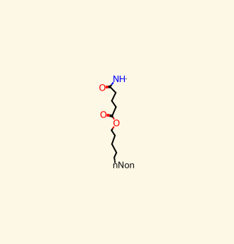 CCCCCCCCCCCCCCOC(=O)CCCC([NH])=O